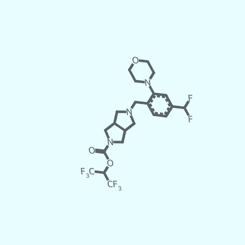 O=C(OC(C(F)(F)F)C(F)(F)F)N1CC2CN(Cc3ccc(C(F)F)cc3N3CCOCC3)CC2C1